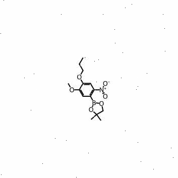 [CH2]CCOc1cc([N+](=O)[O-])c(B2OCC(C)(C)O2)cc1OC